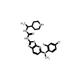 CC(NC(=O)Nc1nc2ccc(N(C)c3ccc(Cl)cc3F)nc2s1)C1CCNCC1